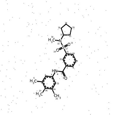 Cc1cc(NC(=O)c2cccc(S(=O)(=O)N(C)C3CCCC3)c2)cc(C)c1C